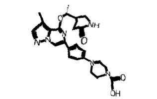 Cc1cnn2cc(-c3ccc(N4CCN(C(=O)O)CC4)cc3)nc(O[C@H](C)C3CNC(=O)C3)c12